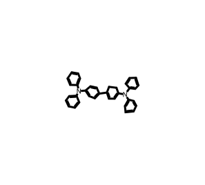 C1=C(c2ccc(N(c3ccccc3)c3ccccc3)cc2)CCC(N(c2ccccc2)c2ccccc2)=C1